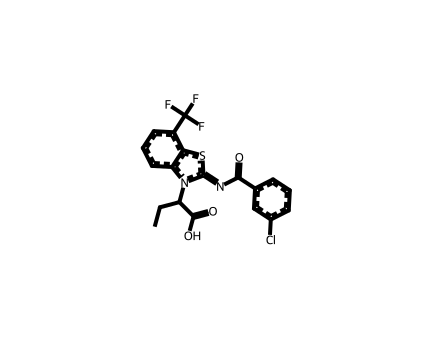 CCC(C(=O)O)n1c(=NC(=O)c2cccc(Cl)c2)sc2c(C(F)(F)F)cccc21